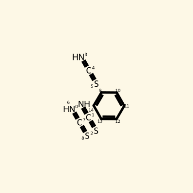 N=C=S.N=C=S.N=C=S.c1ccccc1